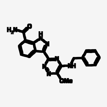 COc1nnc(-c2n[nH]c3c(C(N)=O)cccc23)nc1NCc1ccccc1